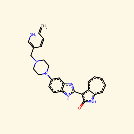 C=C/C=C\C(=C/N)CN1CCN(c2ccc3[nH]c(-c4c5cccccc-5[nH]c4=O)nc3c2)CC1